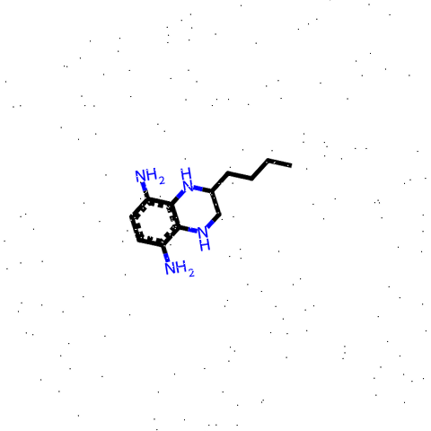 CCCCC1CNc2c(N)ccc(N)c2N1